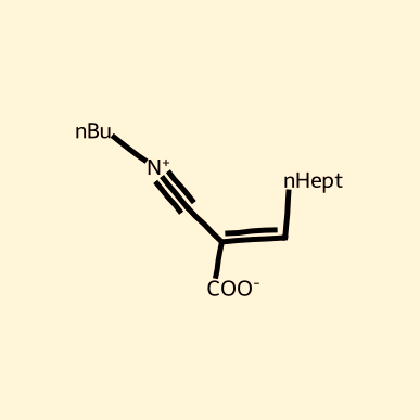 CCCCCCCC=C(C#[N+]CCCC)C(=O)[O-]